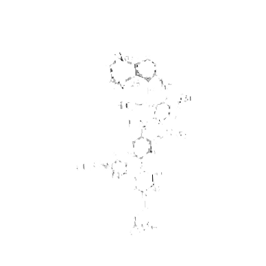 COCCN1CCN(c2cc(OC)c(Nc3ncc(Br)c(Nc4ccc5nccnc5c4CC=O)n3)cc2-c2cnn(C)c2)CC1